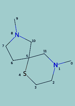 CN1CCSC2(CCN(C)C2)C1